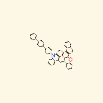 C1=CC(c2cccc3ccccc23)CC=C1N(c1ccc(-c2ccc(-c3ccccc3)cc2)cc1)c1ccccc1-c1cc2c3c(cccc3c1)Oc1ccccc1-2